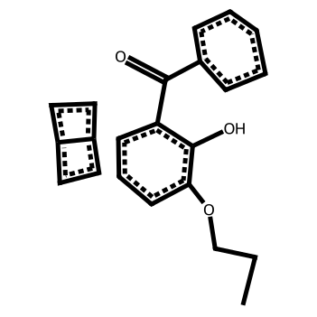 CCCOc1cccc(C(=O)c2ccccc2)c1O.c1cc2ccc1-2